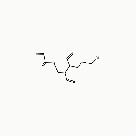 C=CC(=O)OCC(C=C)C(C=C)CCCO